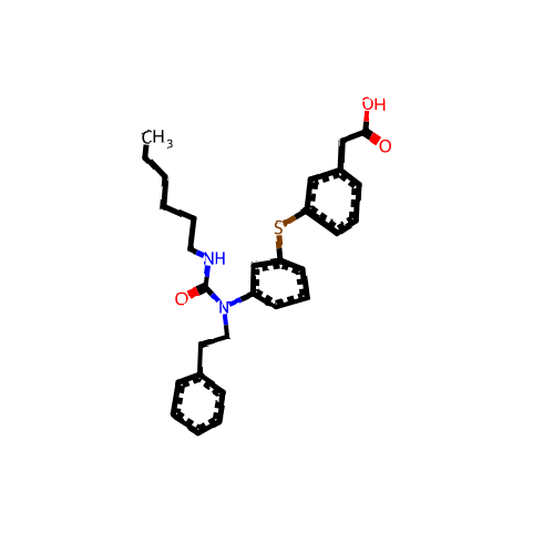 CCCCCCNC(=O)N(CCc1ccccc1)c1cccc(Sc2cccc(CC(=O)O)c2)c1